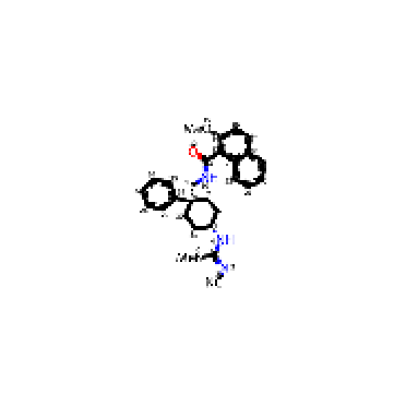 CN/C(=N\C#N)N[C@H]1CC[C@](CNC(=O)c2c(OC)ccc3ccccc23)(c2ccccc2)CC1